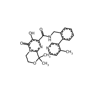 Cc1ccncc1-c1ccccc1CNC(=O)c1nc2n(c(=O)c1O)CCOC2(C)C